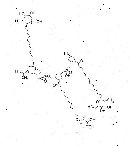 CC(C)OC[C@@H]1CC(CP(=O)(O)OC[C@@H]2C[C@@H](CP(=O)(O)OC[C@@H]3C[C@@H](O)CN3C(=O)CCCCCCCCCCCO[C@@H]3OC(CO)[C@H](O)[C@H](O)C3C)CN2C(=O)CCCCCCCCCCCO[C@@H]2OC(CO)[C@H](O)[C@H](O)C2C)CN1C(=O)CCCCCCCCCCCO[C@@H]1OC(CO)[C@H](O)[C@H](O)C1C